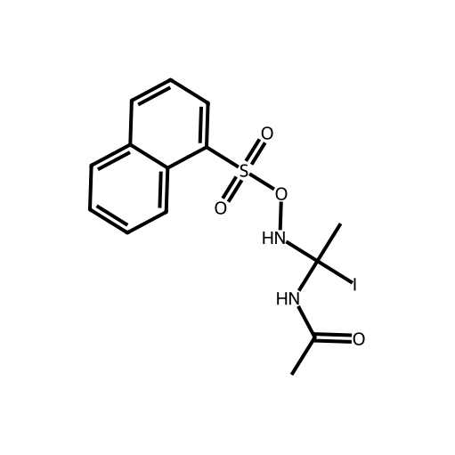 CC(=O)NC(C)(I)NOS(=O)(=O)c1cccc2ccccc12